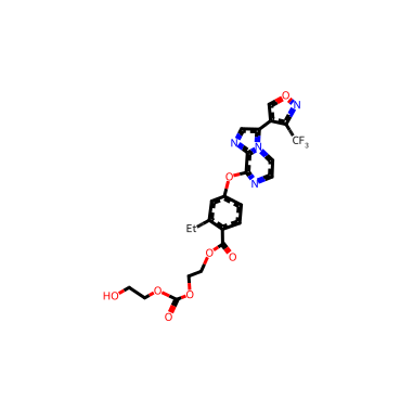 CCc1cc(Oc2nccn3c(-c4conc4C(F)(F)F)cnc23)ccc1C(=O)OCCOC(=O)OCCO